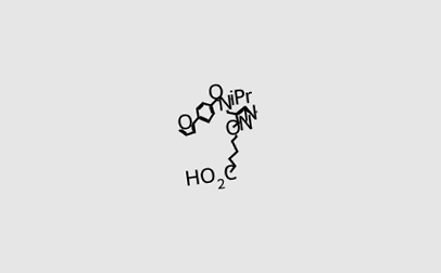 CC(C)N(Cc1cn(C)nc1OCCCCCC(=O)O)C(=O)c1ccc(-c2ccco2)cc1